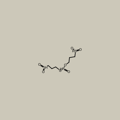 O=[PH](OCCC[SH](=O)=O)OCCC[SH](=O)=O